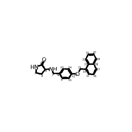 O=C1NCCC1NCc1ccc(OCc2cccc3ccccc23)cc1